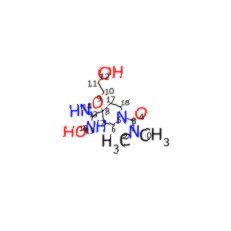 CN(C)C(=O)N1CCC(OCCO)(C(=N)NO)CC1